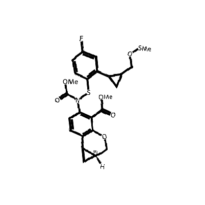 COC(=O)c1c(N(Sc2ccc(F)cc2C2CC2COSC)C(=O)OC)ccc2c1OC[C@@H]1CC21